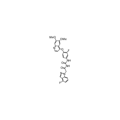 COc1cc2nccc(Oc3ccc(NC(=O)NC(=O)Cn4ncc5c(F)cccc54)cc3F)c2cc1OC